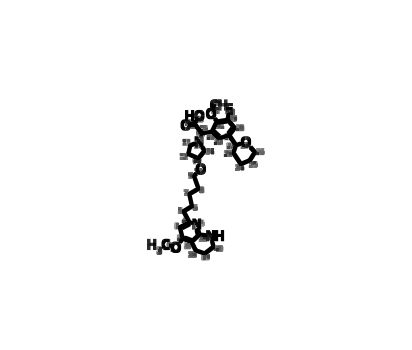 COc1cc(CCCCCO[C@@H]2CCN([C@@H](C(=O)O)c3cc(C4CCCCO4)cc(F)c3OC)C2)nc2c1CCCN2